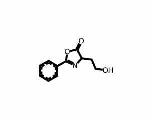 O=C1OC(c2ccccc2)=NC1CCO